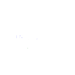 C=C/C=C(\C)C(=N)Cl